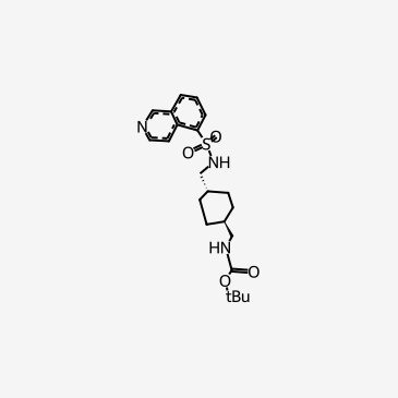 CC(C)(C)OC(=O)NC[C@H]1CC[C@H](CNS(=O)(=O)c2cccc3cnccc23)CC1